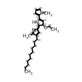 CCCCCCCCCCCC1=CC(=C2NC(c3cccn3C)=CC2OCC)N=C1C